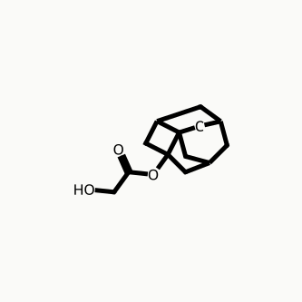 O=C(CO)OC12CC3CC4CC(C1)C2(C4)C3